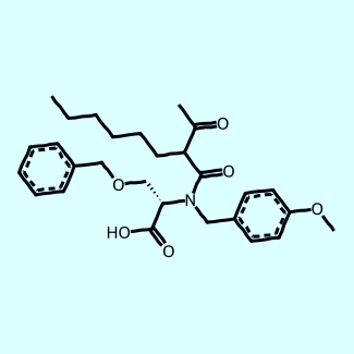 CCCCCCC(C(C)=O)C(=O)N(Cc1ccc(OC)cc1)[C@@H](COCc1ccccc1)C(=O)O